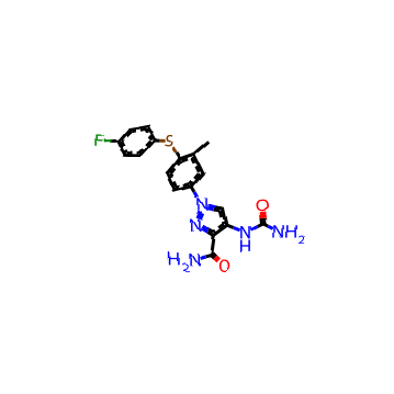 Cc1cc(-n2cc(NC(N)=O)c(C(N)=O)n2)ccc1Sc1ccc(F)cc1